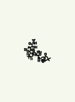 CC[C@@H]1CC1(NC(=O)C1[C@@H]2[C@H](CN1C(=O)[C@@H](NC(=O)N[C@H](CN1C(=O)CC(C)(C)CC1=O)C(C)(C)C)C(C)(C)C)C2(C)C)C(O)C(=O)NC1CC1